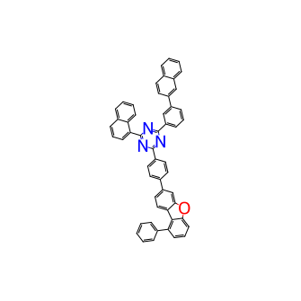 c1ccc(-c2cccc3oc4cc(-c5ccc(-c6nc(-c7cccc(-c8ccc9ccccc9c8)c7)nc(-c7cccc8ccccc78)n6)cc5)ccc4c23)cc1